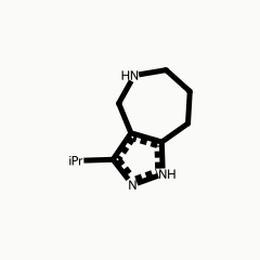 CC(C)c1n[nH]c2c1CNCCC2